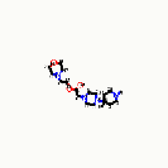 CN1CCC(C)(N2CCN(CC(=O)OCCN3CCOCC3)CC2)CC1